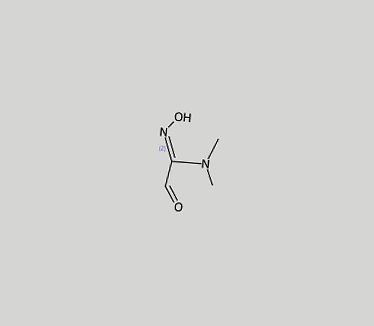 CN(C)/C(C=O)=N\O